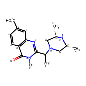 CCCC(c1nc2cc(C(=O)O)ccc2c(=O)n1CC)N1C[C@@H](C)N[C@@H](C)C1